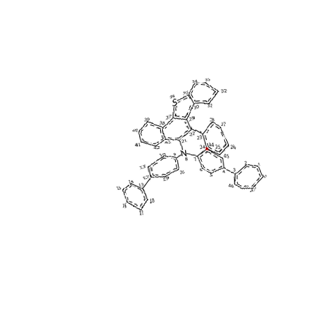 c1ccc(-c2ccc(N(c3ccc(-c4ccccc4)cc3)c3c(-c4ccccc4)c4c5ccccc5sc4c4ccccc34)cc2)cc1